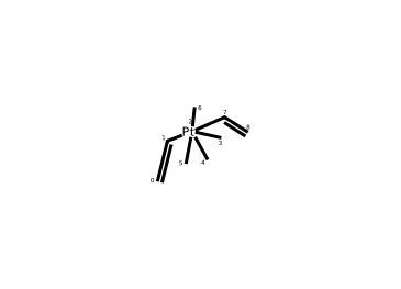 C=[CH][Pt]([CH3])([CH3])([CH3])([CH3])[CH]=C